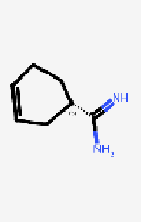 N=C(N)[C@@H]1CC=CCC1